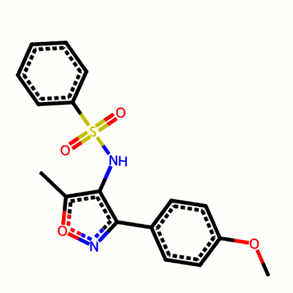 COc1ccc(-c2noc(C)c2NS(=O)(=O)c2ccccc2)cc1